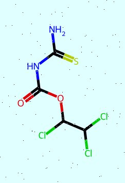 NC(=S)NC(=O)OC(Cl)C(Cl)Cl